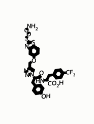 NOOSc1nc2cc(OCc3cn(C(Cc4ccc(O)cc4)C(=O)NC(Cc4ccc(C(F)(F)F)cc4)C(=O)O)nn3)ccc2s1